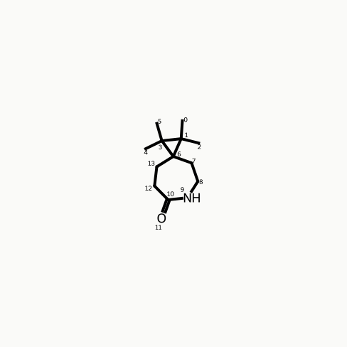 CC1(C)C(C)(C)C12CCNC(=O)CC2